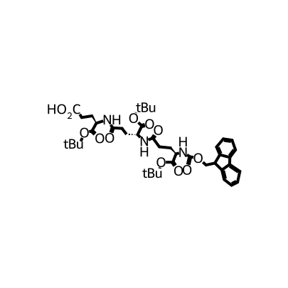 CC(C)(C)OC(=O)[C@@H](CCC(=O)O)NC(=O)CC[C@@H](NC(=O)CC[C@@H](NC(=O)OCC1c2ccccc2-c2ccccc21)C(=O)OC(C)(C)C)C(=O)OC(C)(C)C